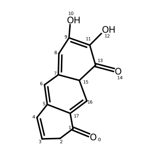 O=C1CC=CC2=CC3=CC(O)=C(O)C(=O)C3C=C12